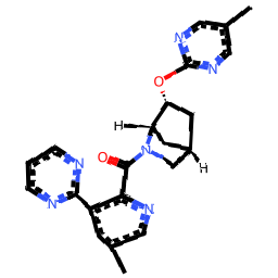 Cc1cnc(O[C@@H]2C[C@H]3C[C@@H]2N(C(=O)c2ncc(C)cc2-c2ncccn2)C3)nc1